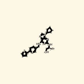 CC(C)[C@@H](CO)Nc1nc(NCc2ccc(-c3cccs3)nc2)c2ncn(C3CCCC3)c2n1